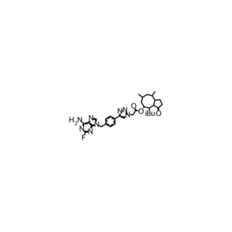 CCC(C)C1C(OC(=O)Cn2cc(-c3ccc(Cn4cnc5c(N)nc(F)nc54)cc3)nn2)CC(C)CC(C)C2CCC(=O)C21